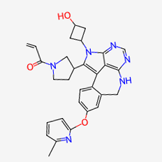 C=CC(=O)N1CCC(c2c3c4c(ncnc4n2C2CC(O)C2)NCc2cc(Oc4cccc(C)n4)ccc2-3)C1